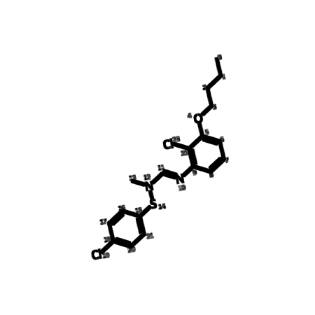 CCCCOc1cccc(N=CN(C)Sc2ccc(Cl)cc2)c1Cl